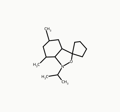 CC1CC(C)C2C(C1)C1(CCCC1)ON2C(C)C